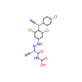 N#CC(=NNc1cc(Cl)c(C(C#N)c2ccc(Cl)cc2)c(Cl)c1)C(=O)NC(=O)O